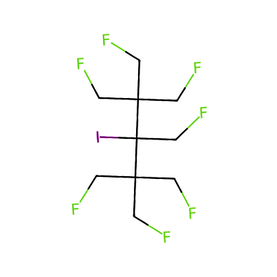 FCC(CF)(CF)C(I)(CF)C(CF)(CF)CF